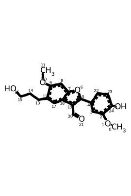 COc1cc(-c2oc3cc(OC)c(CCCO)cc3c2C=O)ccc1O